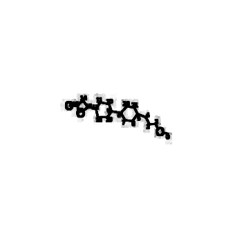 COCCCC1CCC(C2CCC(C3CC(=O)O3)CC2)CC1